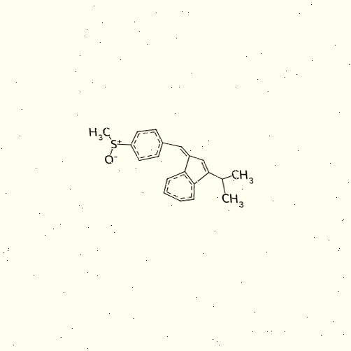 CC(C)C1=C/C(=C/c2ccc([S+](C)[O-])cc2)c2ccccc21